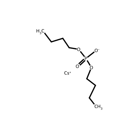 CCCCOP(=O)([O-])OCCCC.[Cs+]